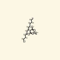 O=C([O-])CC(=O)[O-].[K+].[K+].[Li][CH2]CCCCCCCCCCC